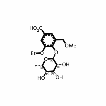 CCOc1cc(C(=O)O)cc(COC)c1O[C@@H]1O[C@@H](C)[C@H](O)[C@@H](O)[C@H]1O